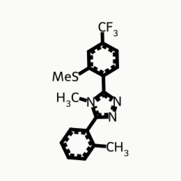 CSc1cc(C(F)(F)F)ccc1-c1nnc(-c2ccccc2C)n1C